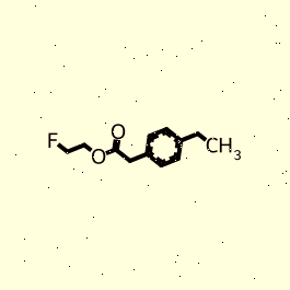 CCc1ccc(CC(=O)OCCF)cc1